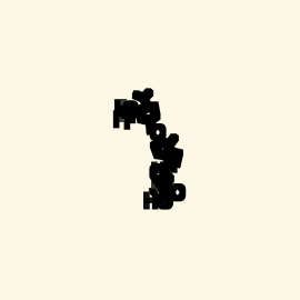 CNC(CC(=O)N1CCc2c1ccc(OCc1ccc(C(C)C)c(OC(F)(F)F)c1)c2C)C(=O)O